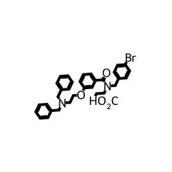 O=C(O)CCN(Cc1ccc(Br)cc1)C(=O)c1cccc(OCCN(Cc2ccccc2)Cc2ccccc2)c1